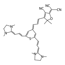 CN1CCN(C)C1=C/C=C/C1=CC(=C/C=C/C2=C(C#N)C(=C(C#N)C#N)OC2(C)C)C=C(/C=C/C=C2N(C)CCN2C)S1